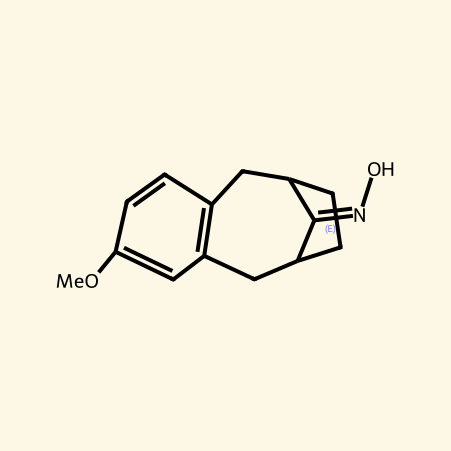 COc1ccc2c(c1)CC1CCC(C2)/C1=N\O